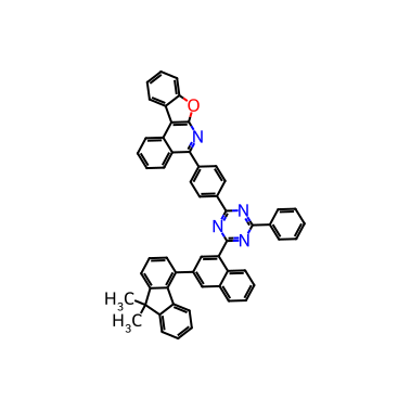 CC1(C)c2ccccc2-c2c(-c3cc(-c4nc(-c5ccccc5)nc(-c5ccc(-c6nc7oc8ccccc8c7c7ccccc67)cc5)n4)c4ccccc4c3)cccc21